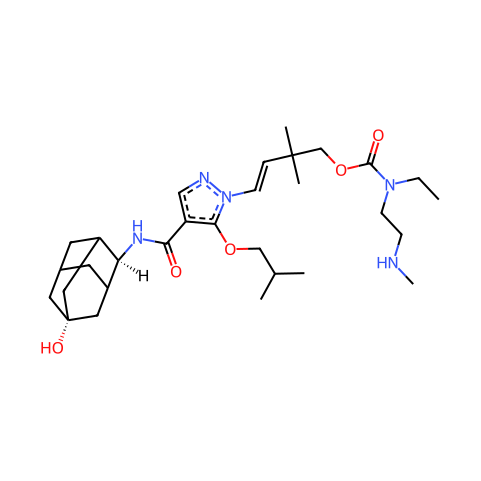 CCN(CCNC)C(=O)OCC(C)(C)/C=C/n1ncc(C(=O)N[C@H]2C3CC4CC2C[C@](O)(C4)C3)c1OCC(C)C